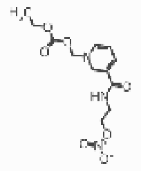 CCOC(=O)OCN1C=CC=C(C(=O)NCCO[N+](=O)[O-])C1